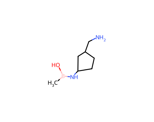 CB(O)NC1CCC(CN)C1